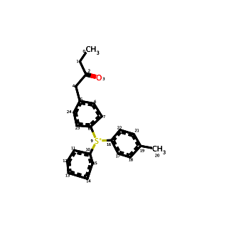 CCC(=O)Cc1ccc([S+](c2ccccc2)c2ccc(C)cc2)cc1